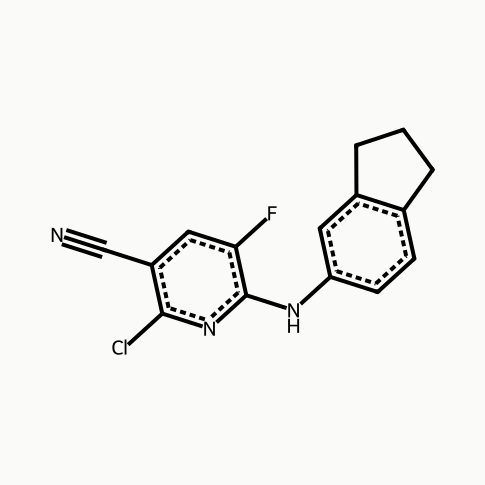 N#Cc1cc(F)c(Nc2ccc3c(c2)CCC3)nc1Cl